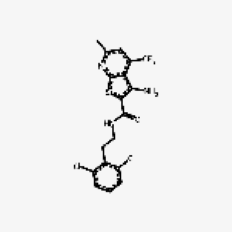 Cc1cc(C(F)(F)F)c2c(N)c(C(=O)NCCc3c(Cl)cccc3Cl)sc2n1